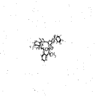 CN(c1ncccc1CNc1nc(Nc2cccc(CP(=O)(O)c3ccccc3)c2)ncc1C(F)(F)F)S(C)(=O)=O